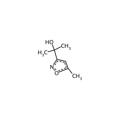 Cc1cc(C(C)(C)O)no1